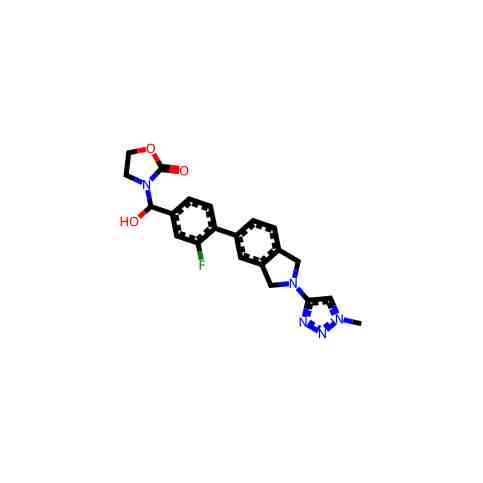 Cn1cc(N2Cc3ccc(-c4ccc(C(O)N5CCOC5=O)cc4F)cc3C2)nn1